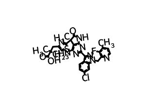 Cc1ccnc(Cn2nc(-c3nc(N)c4c(n3)NC(=O)[C@@]4(C)c3nc(CC(C)(C)C(=O)O)cs3)c3ccc(Cl)cc32)c1F